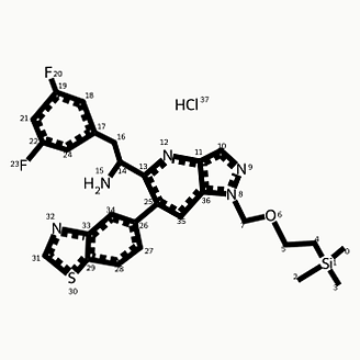 C[Si](C)(C)CCOCn1ncc2nc(C(N)Cc3cc(F)cc(F)c3)c(-c3ccc4scnc4c3)cc21.Cl